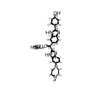 CN1CCN(c2ccc3nc(C(=O)c4ccc5nc(-c6ccc(O)cc6)[nH]c5c4)[nH]c3c2)CC1.Cl.Cl.Cl